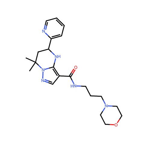 CC1(C)CC(c2ccccn2)Nc2c(C(=O)NCCCN3CCOCC3)cnn21